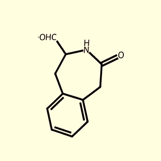 O=[C]C1Cc2ccccc2CC(=O)N1